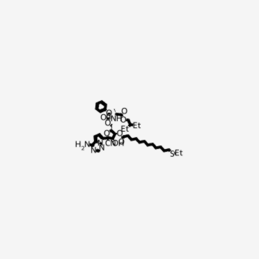 CCSCCCCCCCCCCCC(=O)O[C@H]1[C@@H](O)[C@](C#N)(c2ccc3c(N)ncnn23)O[C@@H]1COP(=O)(N[C@H](C)C(=O)OCC(CC)CC)Oc1ccccc1